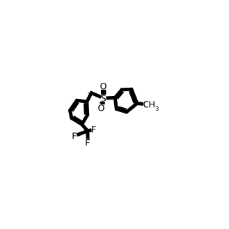 Cc1ccc(S(=O)(=O)[CH]c2cccc(C(F)(F)F)c2)cc1